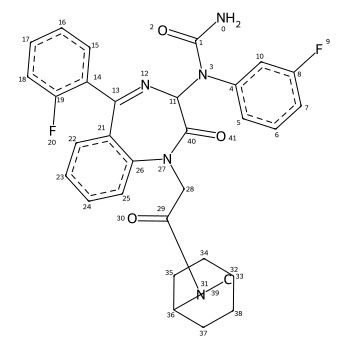 NC(=O)N(c1cccc(F)c1)C1N=C(c2ccccc2F)c2ccccc2N(CC(=O)N2CC3CCC(CC3)C2)C1=O